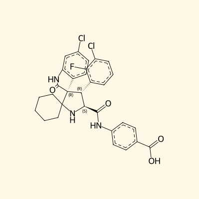 O=C(O)c1ccc(NC(=O)[C@H]2NC3(CCCCC3)[C@@]3(C(=O)Nc4cc(Cl)ccc43)[C@@H]2c2cccc(Cl)c2F)cc1